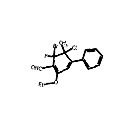 CCOC1=C(C=O)C(F)(Br)C(C)(Cl)C(c2ccccc2)=C1